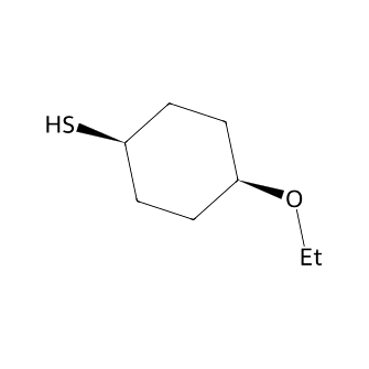 CCO[C@H]1CC[C@@H](S)CC1